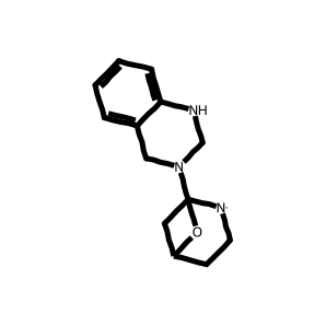 c1ccc2c(c1)CN(C13CC(CC[N]1)O3)CN2